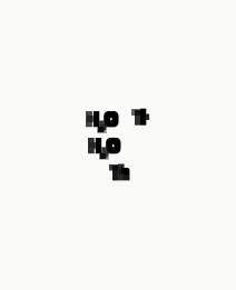 O.O.[Th].[Tl]